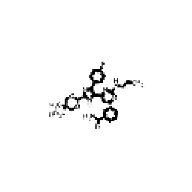 C=CCNc1nccc(-c2[nH]c(C3OCC(C)(C(=O)O)CO3)nc2-c2ccc(F)cc2)n1.NC(=O)c1ccccc1